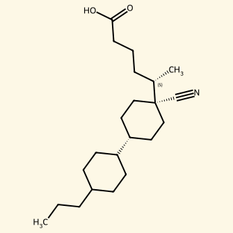 CCCC1CCC([C@H]2CC[C@](C#N)([C@@H](C)CCCC(=O)O)CC2)CC1